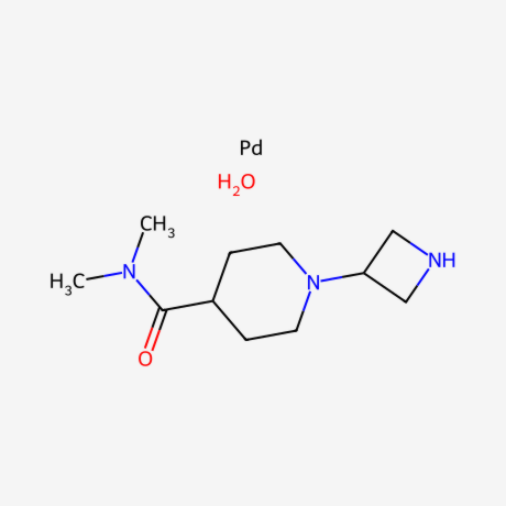 CN(C)C(=O)C1CCN(C2CNC2)CC1.O.[Pd]